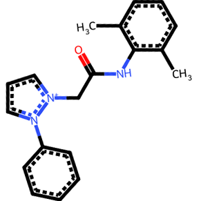 Cc1cccc(C)c1NC(=O)C[n+]1cccn1-c1ccccc1